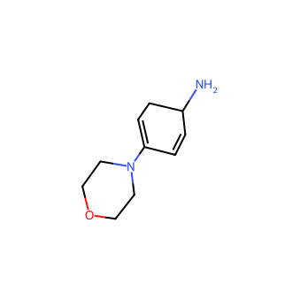 NC1C=CC(N2CCOCC2)=CC1